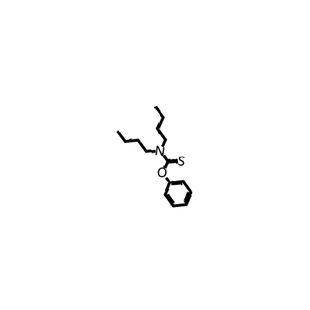 CCCCN(CCCC)C(=S)Oc1ccccc1